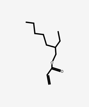 C=CC(=O)OCC(CC)CCCCC